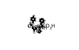 Cc1ccc(COC(=O)SCC(C)C(=O)N2CCC[C@H]2C(=O)N[C@@H](Cc2ccccc2)C(=O)O)cc1